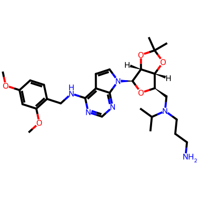 COc1ccc(CNc2ncnc3c2ccn3[C@@H]2O[C@H](CN(CCCN)C(C)C)[C@H]3OC(C)(C)O[C@H]32)c(OC)c1